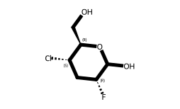 OC[C@H]1OC(O)[C@H](F)C[C@@H]1Cl